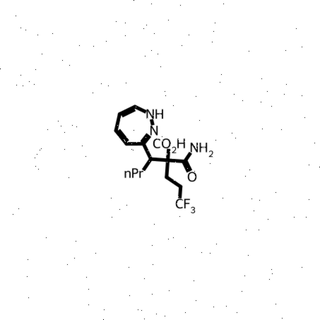 CCCC(C1=NNC=CC=C1)C(CCC(F)(F)F)(C(N)=O)C(=O)O